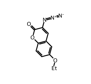 CCOc1ccc2oc(=O)c(N=[N+]=[N-])cc2c1